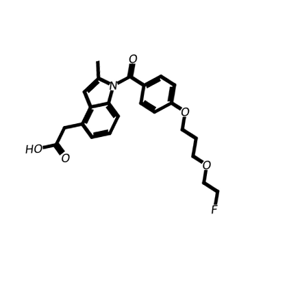 Cc1cc2c(CC(=O)O)cccc2n1C(=O)c1ccc(OCCCOCCF)cc1